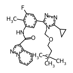 Cc1c(F)cc(-c2nnc(C3CC3)n2COCC[Si](C)(C)C)cc1NC(=O)c1cnn2ccccc12